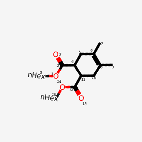 CCCCCCOC(=O)C1CC(C)=C(C)CC1C(=O)OCCCCCC